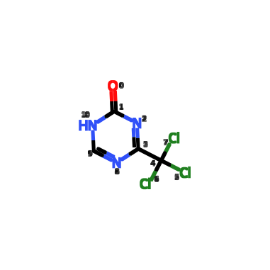 O=c1nc(C(Cl)(Cl)Cl)nc[nH]1